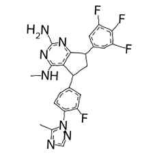 CNc1nc(N)nc2c1C(c1ccc(-n3ncnc3C)c(F)c1)CC2c1cc(F)c(F)c(F)c1